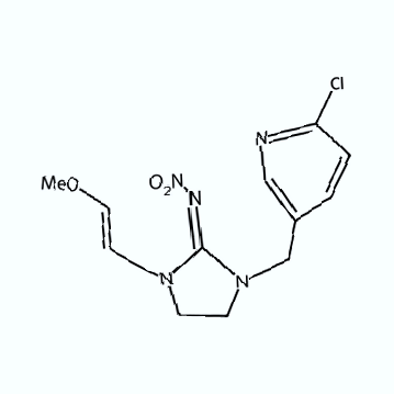 COC=CN1CCN(Cc2ccc(Cl)nc2)C1=N[N+](=O)[O-]